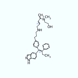 C=C(/C=C/CNCCCc1ccc(/C(=C(/CC)c2ccccc2)c2ccc3[nH]ncc3c2)cc1)N(C)CCO